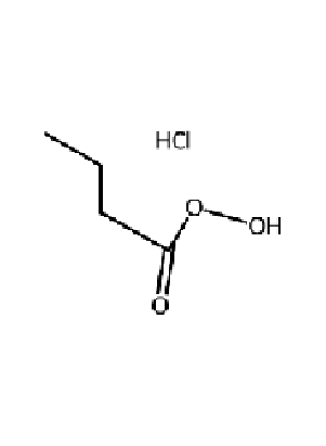 CCCC(=O)OO.Cl